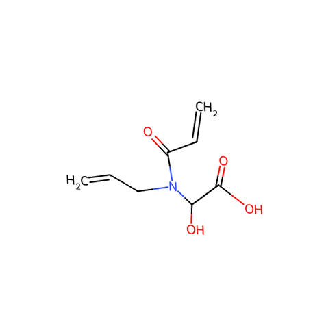 C=CCN(C(=O)C=C)C(O)C(=O)O